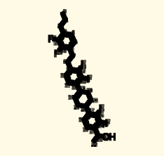 CCCc1ccc(CCc2ccc(C3=CCC(c4ccc(C(C)O)c(F)c4F)CC3)c(F)c2F)c(F)c1F